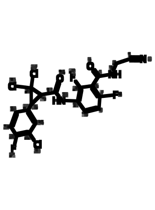 N#CCNC(=O)c1c(F)ccc(NC(=O)C2C(c3ccc(F)c(Cl)c3)C2(Cl)Cl)c1F